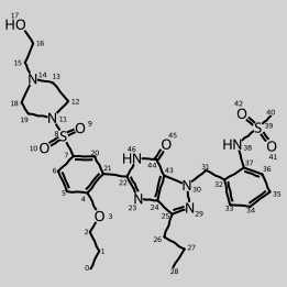 CCCOc1ccc(S(=O)(=O)N2CCN(CCO)CC2)cc1-c1nc2c(CCC)nn(Cc3ccccc3NS(C)(=O)=O)c2c(=O)[nH]1